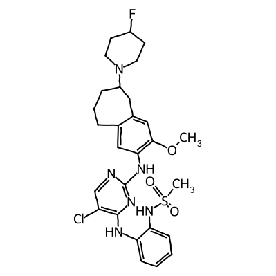 COc1cc2c(cc1Nc1ncc(Cl)c(Nc3ccccc3NS(C)(=O)=O)n1)CCCC(N1CCC(F)CC1)C2